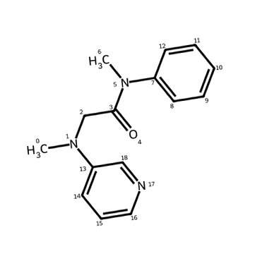 CN(CC(=O)N(C)c1ccccc1)c1cccnc1